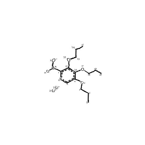 CCCOc1cnc(B([O-])[O-])c(OCCC)c1OCCC.[Li+].[Li+]